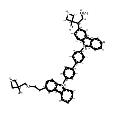 CCC1(COCCc2ccc3c(c2)c2ccccc2n3-c2ccc(-c3ccc(-n4c5ccccc5c5cc(C(COC)C6(CC)COC6)ccc54)cc3)cc2)COC1